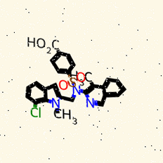 Cc1c(N(Cc2cc3cccc(Cl)c3n2C)S(=O)(=O)c2ccc(C(=O)O)cc2)ncc2ccccc12